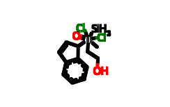 [CH3][Ti](=[O])([SiH3])([Cl])([Cl])([CH2]CO)[CH]1C=Cc2ccccc21